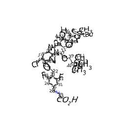 CC(C)(C)[Si](C)(C)O[C@@H]1CO[C@H]2[C@@H]1OC[C@H]2Oc1nc2cc(Cl)c(OCc3c(F)cc(/C=C/C(=O)O)cc3F)nc2n1COCC[Si](C)(C)C